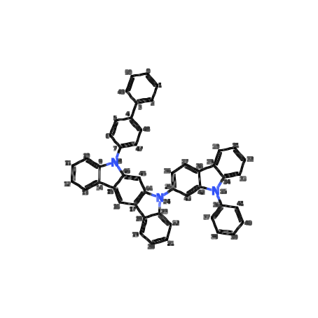 c1ccc(-c2ccc(-n3c4ccccc4c4cc5c6ccccc6n(-c6ccc7c8ccccc8n(-c8ccccc8)c7c6)c5cc43)cc2)cc1